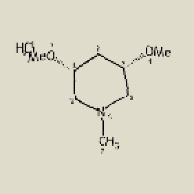 CO[C@@H]1C[C@H](OC)CN(C)C1.Cl